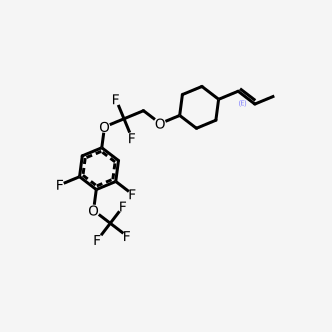 C/C=C/C1CCC(OCC(F)(F)Oc2cc(F)c(OC(F)(F)F)c(F)c2)CC1